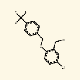 FC(F)(F)c1ccc(COc2ccc(Cl)cc2CBr)cc1